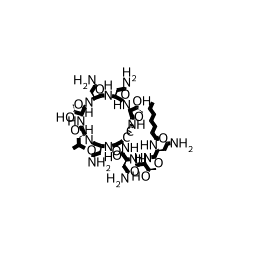 CCCCCCC(=O)N[C@@H](CCN)C(=O)N[C@H](C(=O)N[C@@H](CCN)C(=O)N[C@H]1CCNC(=O)[C@H]([C@@H](C)O)NC(=O)[C@H](CCN)NC(=O)[C@H](CCN)NC(=O)[C@H]([C@@H](C)O)NC(=O)[C@@H](CC(C)C)NC(=O)[C@H](CCN)NC1=O)[C@@H](C)O